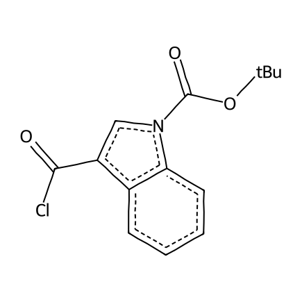 CC(C)(C)OC(=O)n1cc(C(=O)Cl)c2ccccc21